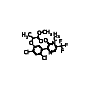 COC(=O)C(C)Oc1cc(-c2ncc(C(F)(F)F)n(C)c2=O)c(Cl)cc1Cl